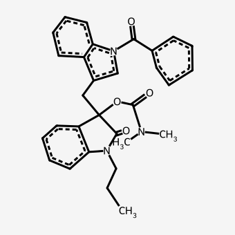 CCCN1C(=O)C(Cc2cn(C(=O)c3ccccc3)c3ccccc23)(OC(=O)N(C)C)c2ccccc21